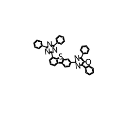 c1ccc(-c2nc(-c3ccccc3)nc(-c3cccc4c3sc3cc(-c5nc(-c6ccccc6)c6oc7ccccc7c6n5)ccc34)n2)cc1